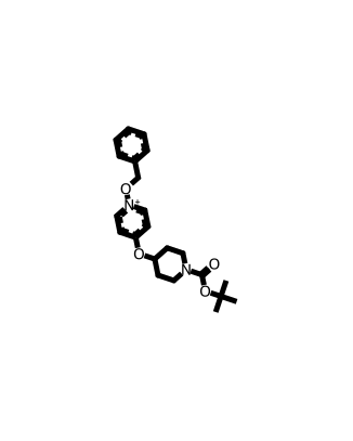 CC(C)(C)OC(=O)N1CCC(Oc2cc[n+](OCc3ccccc3)cc2)CC1